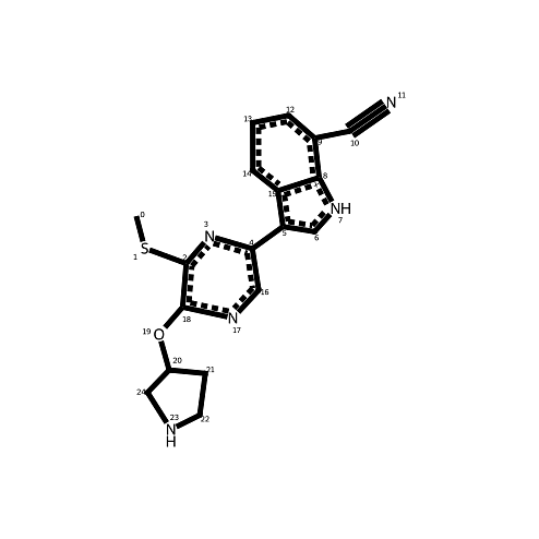 CSc1nc(-c2c[nH]c3c(C#N)cccc23)cnc1OC1CCNC1